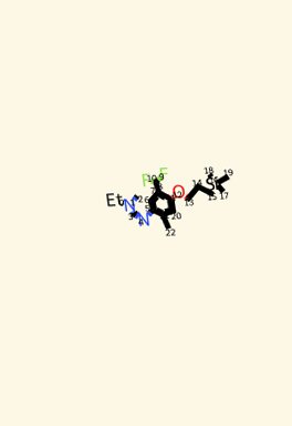 CCN(C)/C=N\c1cc(C(F)F)c(OCCC[Si](C)(C)C)cc1C